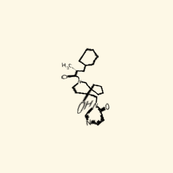 C[C@H](CC1CCCCC1)C(=O)N1CCC(O)(Cn2cnccc2=O)C2(CCCC2)C1